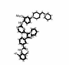 COc1cc(N2CCC(CN3CCCCC3)CC2)ccc1Nc1nccc(-c2c(-c3cccc(C(=O)Nc4c(F)cccc4F)c3)nc3ccccn23)n1